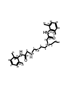 CCCN(CCSCNCC(=O)Nc1c(C)cccc1C)CC(=O)Nc1c(C)cccc1C